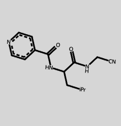 CC(C)CC(NC(=O)c1ccncc1)C(=O)NCC#N